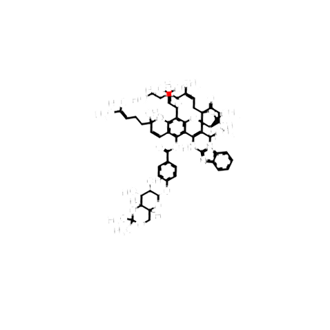 CC(C)=CCCC1(C)C=Cc2c(c(CC=C(C)C)c3c(c2OC(=O)c2ccc(O[C@@H]4O[C@@H]5COC(C)(C)O[C@H]5[C@H](O)[C@H]4O)cc2)C2=C(C(C)n4c(nc5ccccc54)N2)C2(O3)[C@@H]3CCC(=O)C2(C/C=C(/C)C(=O)NCCO)OC3(C)C)O1